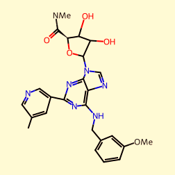 CNC(=O)[C@@H]1OC(n2cnc3c(NCc4cccc(OC)c4)nc(-c4cncc(C)c4)nc32)C(O)C1O